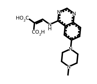 CN1CCN(c2ccc3ncnc(NC=C(C(=O)O)C(=O)O)c3c2)CC1